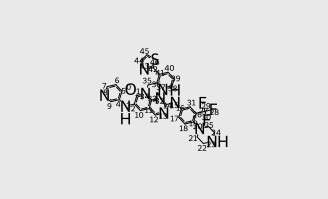 O=c1c(Nc2cccnc2)cc2cnc(Nc3ccc(N4CCNCC4)c(C(F)(F)F)c3)nc2n1Cc1ncccc1-c1nccs1